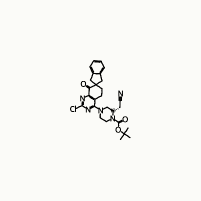 CC(C)(C)OC(=O)N1CCN(c2nc(Cl)nc3c2CCC2(Cc4ccccc4C2)C3=O)C[C@@H]1CC#N